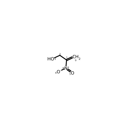 C=C(CO)[N+](=O)[O-]